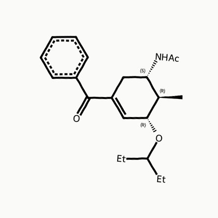 CCC(CC)O[C@@H]1C=C(C(=O)c2ccccc2)C[C@H](NC(C)=O)[C@H]1C